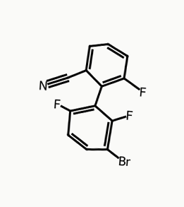 N#Cc1cccc(F)c1-c1c(F)ccc(Br)c1F